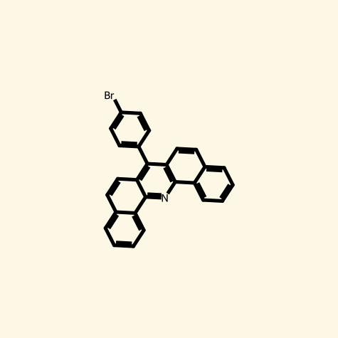 Brc1ccc(-c2c3ccc4ccccc4c3nc3c2ccc2ccccc23)cc1